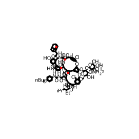 CCCCOc1ccc(NC(=O)NC(=O)C[C@@H]2CC(=O)[C@H](NC(=O)[C@H](CC)CC(C)C)[C@H](O)c3ccc(c(Cl)c3)Oc3cc4cc(c3O[C@@H]3O[C@H](CO)[C@@H](O)[C@H](O)[C@H]3O[C@H]3C[C@](C)(N)[C@H](O)[C@H](C)O3)Oc3ccc(cc3Cl)[C@@H](O)[C@@H]3NC(=O)[C@H](CC(=O)[C@@H]4NC2=O)c2ccc(O)c(c2)-c2c(O)cc(O)cc2[C@@H](C(=O)CC2C4CC5CC(C4)CC2C5)NC3=O)cc1